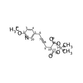 COc1ccc(CC#CCC2C(=O)OC(C)(C)OC2=O)cn1